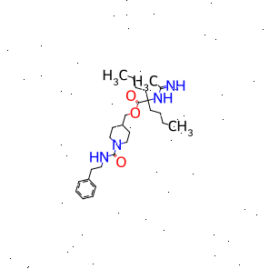 CCCCC(CCCC)(NC(C)=N)C(=O)OCC1CCN(C(=O)NCCc2ccccc2)CC1